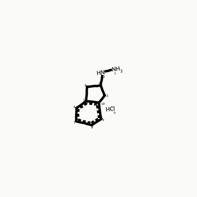 Cl.NNC1Cc2ccccc2C1